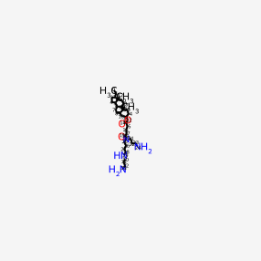 CCC1CCC2C3CC=C4CC(OC(=O)CCCC(=O)N(CCCN)CCCCNCCCN)CCC4(C)C3CCC12C